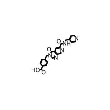 O=C(O)c1ccc(Cn2cnc3cnc(C(=O)NCc4ccncc4)cc3c2=O)cc1